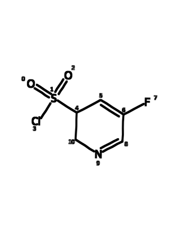 O=S(=O)(Cl)C1C=C(F)C=NC1